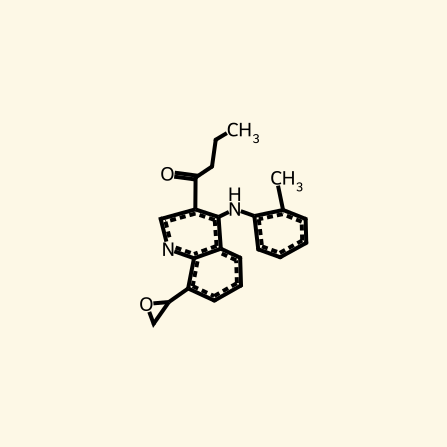 CCCC(=O)c1cnc2c(C3CO3)cccc2c1Nc1ccccc1C